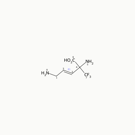 NC/C=C/C(N)(C(=O)O)C(F)(F)F